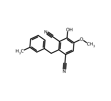 COc1cc(C#N)c(Cc2cccc(C)c2)c(C#N)c1O